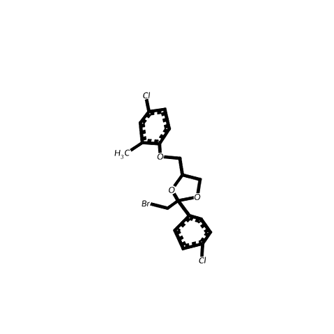 Cc1cc(Cl)ccc1OCC1COC(CBr)(c2ccc(Cl)cc2)O1